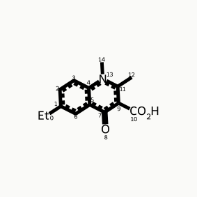 CCc1ccc2c(c1)c(=O)c(C(=O)O)c(C)n2C